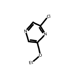 CCOc1cncc(Cl)n1